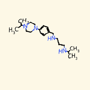 CC(C)NCCCNCc1ccc(N2CCN(C(C)C)CC2)cc1